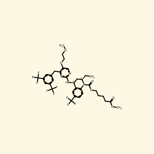 CC[C@@H]1C[C@H](Nc2ncc(OCCOC)c(Cc3cc(C(F)(F)F)cc(C(F)(F)F)c3)n2)c2cc(C(F)(F)F)ccc2N1C(=O)OCCCCC(=O)OC